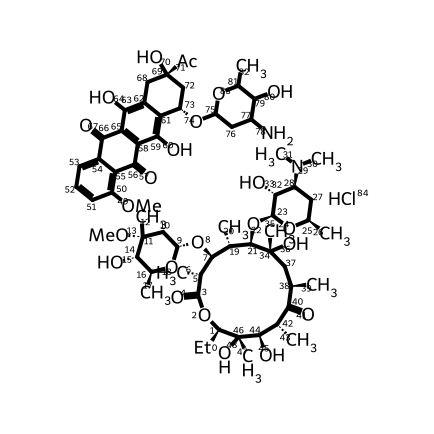 CC[C@H]1OC(=O)[C@H](C)[C@@H](O[C@H]2C[C@@](C)(OC)[C@@H](O)[C@H](C)O2)[C@H](C)[C@@H](O[C@@H]2O[C@H](C)C[C@H](N(C)C)[C@H]2O)[C@](C)(O)C[C@@H](C)C(=O)[C@H](C)[C@@H](O)[C@]1(C)O.COc1cccc2c1C(=O)c1c(O)c3c(c(O)c1C2=O)C[C@@](O)(C(C)=O)C[C@@H]3OC1CC(N)C(O)C(C)O1.Cl